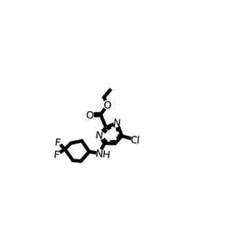 CCOC(=O)c1nc(Cl)cc(NC2CCC(F)(F)CC2)n1